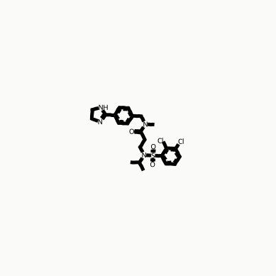 CC(C)N(CCC(=O)N(C)Cc1ccc(C2=NCCN2)cc1)S(=O)(=O)c1cccc(Cl)c1Cl